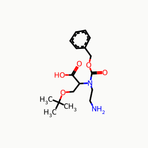 CC(C)(C)OCC(C(=O)O)N(CCN)C(=O)OCc1ccccc1